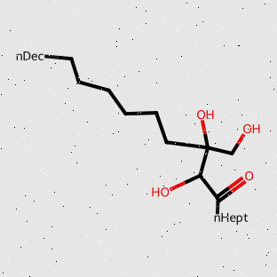 CCCCCCCCCCCCCCCCC(O)(CO)C(O)C(=O)CCCCCCC